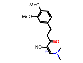 COc1ccc(CCC(=O)/C(C#N)=C\N(C)C)cc1OC